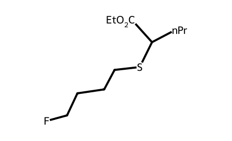 CCCC(SCCCCF)C(=O)OCC